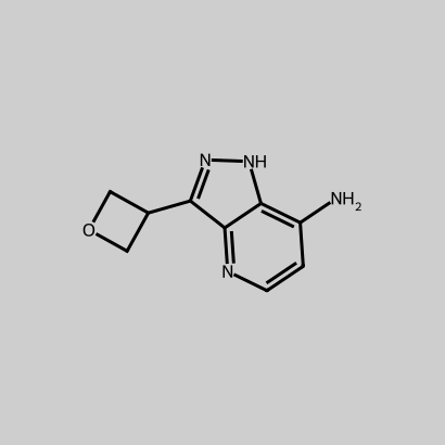 Nc1ccnc2c(C3COC3)n[nH]c12